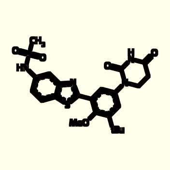 COc1c(-c2nc3cc(NS(C)(=O)=O)ccc3s2)cc(N2CCC(=O)NC2=O)cc1C(C)(C)C